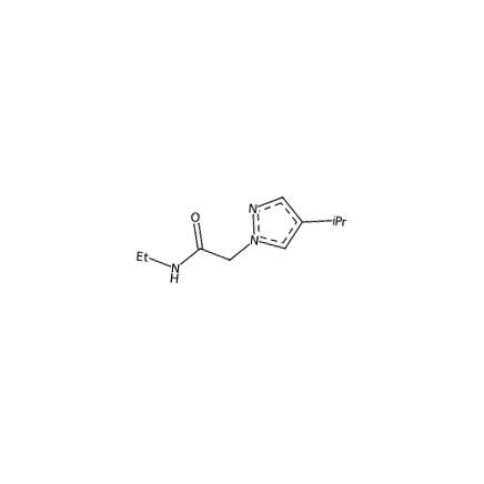 CCNC(=O)Cn1cc(C(C)C)cn1